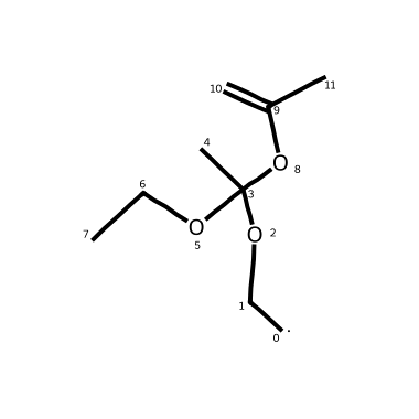 [CH2]COC(C)(OCC)OC(=C)C